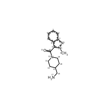 Cn1nc2ccccc2c1C(=O)N1CCC(CN)CC1